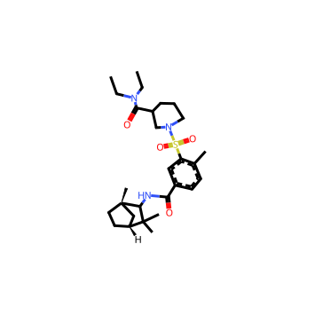 CCN(CC)C(=O)C1CCCN(S(=O)(=O)c2cc(C(=O)NC3C(C)(C)[C@@H]4CC[C@@]3(C)C4)ccc2C)C1